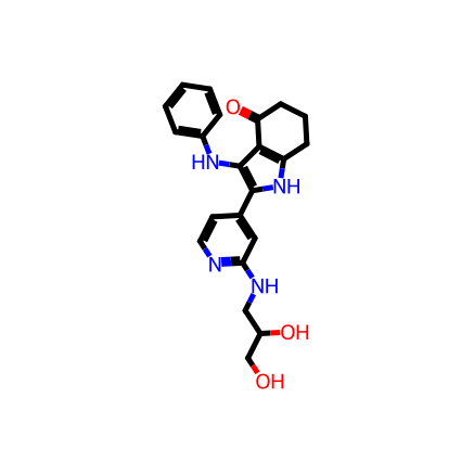 O=C1CCCc2[nH]c(-c3ccnc(NCC(O)CO)c3)c(Nc3ccccc3)c21